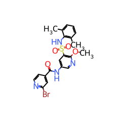 COc1ncc(NC(=O)c2ccnc(Br)c2)cc1S(=O)(=O)Nc1c(C)cccc1C